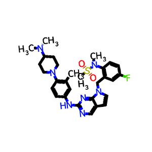 Cc1cc(Nc2ncc3ccn(Cc4cc(F)ccc4N(C)S(C)(=O)=O)c3n2)ccc1N1CCC(N(C)C)CC1